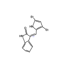 CCc1cc(CC)c(/C=C2\C(=O)Nc3ccccc32)[nH]1